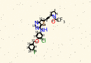 O=C(N1CCC[C@@H]1C#Cc1cc2ncnc(Nc3ccc(OCc4cccc(F)c4)c(Cl)c3)c2s1)C(F)(F)F